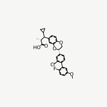 COc1ccc(F)c(-c2ccc([C@H]3COc4ccc(C(C5CC5)[C@@H](C)C(=O)O)cc4O3)cc2Cl)c1